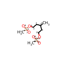 CC(CCOS(C)(=O)=O)CCOS(C)(=O)=O